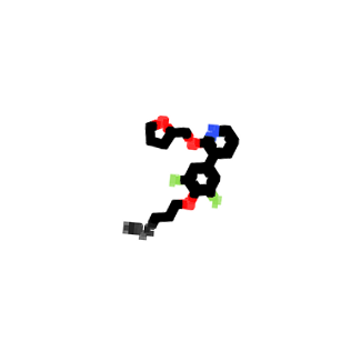 O=C(O)CCCOc1c(F)cc(-c2cccnc2OCC2CCCO2)cc1F